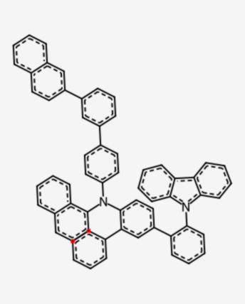 c1ccc(-c2cc(-c3ccccc3-n3c4ccccc4c4ccccc43)ccc2N(c2ccc(-c3cccc(-c4ccc5ccccc5c4)c3)cc2)c2cccc3ccccc23)cc1